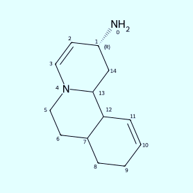 N[C@H]1C=CN2CCC3CCC=CC3C2C1